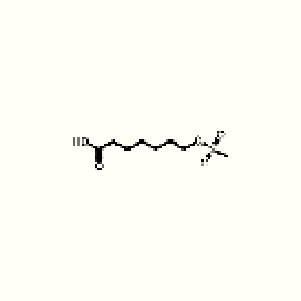 CS(=O)(=O)OCCCCCCC(=O)O